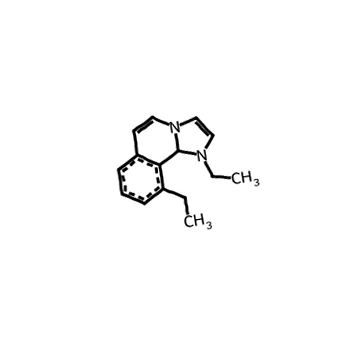 CCc1cccc2c1C1N(C=C2)C=CN1CC